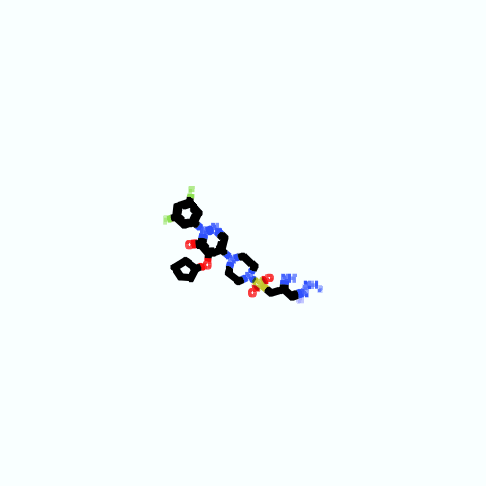 N=C(/C=N\N)CS(=O)(=O)N1CCN(c2cnn(-c3cc(F)cc(F)c3)c(=O)c2OC2CCCC2)CC1